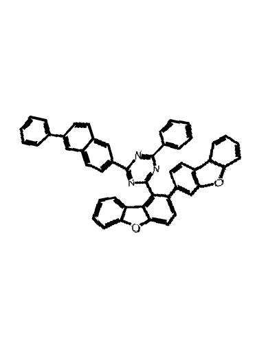 C1=CC2Oc3cc(-c4ccc5oc6ccccc6c5c4-c4nc(-c5ccccc5)nc(-c5ccc6cc(-c7ccccc7)ccc6c5)n4)ccc3C2C=C1